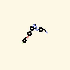 N#CCc1ccc(Nc2ncnc3ccc(-c4ccc(OCc5ccc(F)cc5)cc4)cc23)cc1